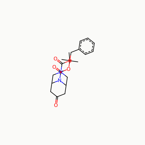 CC(C)(C)OC(=O)N1C2CC(=O)CC1CN(C(=O)OCc1ccccc1)C2